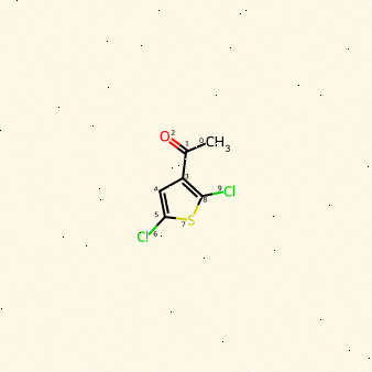 CC(=O)c1cc(Cl)sc1Cl